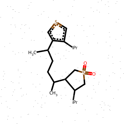 CC(C)c1cscc1C(C)CCC(C)C1CS(=O)(=O)CC1C(C)C